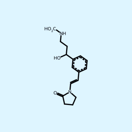 O=C(O)NCCC(O)c1cccc(C=CN2CCCC2=O)c1